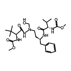 COC(=O)N[C@H](C(=O)N[C@H](CCN(CO)NC(=O)[C@@H](NC(=O)OC)C(C)(C)C)Cc1ccccc1)C(C)C